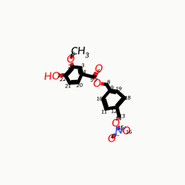 COc1cc(C(=O)OCc2ccc(CO[N+](=O)[O-])cc2)ccc1O